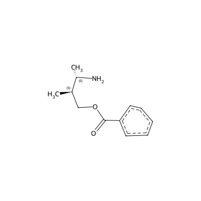 C[C@H](N)[C@H](C)COC(=O)c1ccccc1